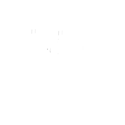 CCCCN(CC(C)C)S(=O)(=O)CC(C)C